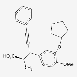 COc1ccc([C@@H](C#Cc2ccccc2)[C@@H](C)C(=O)O)cc1OC1CCCC1